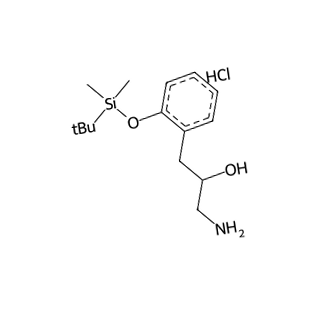 CC(C)(C)[Si](C)(C)Oc1ccccc1CC(O)CN.Cl